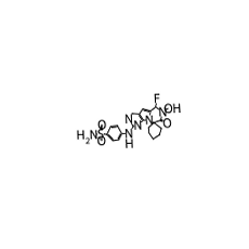 NS(=O)(=O)c1ccc(Nc2ncc3cc4n(c3n2)C2(CCCCC2)C(=O)N(O)C4F)cc1